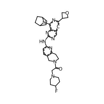 O=C(CN1CCC(F)CC1)N1CCc2nc(Nc3ncc4cc(C5COC5)nc(N5C6CCC5CC6)c4n3)ccc2C1